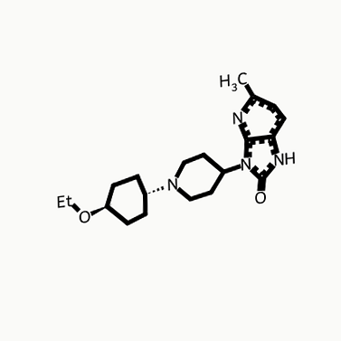 CCO[C@H]1CC[C@H](N2CCC(n3c(=O)[nH]c4ccc(C)nc43)CC2)CC1